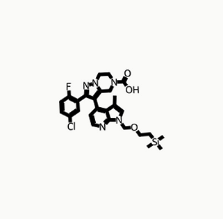 Cc1cn(COCC[Si](C)(C)C)c2nccc(-c3c(-c4cc(Cl)ccc4F)nn4c3CN(C(=O)O)CC4)c12